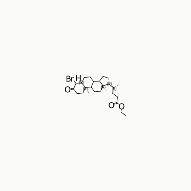 CCOC(=O)CC[C@@H](C)[C@H]1CCC2C3CC[C@@H]4C(Br)C(=O)CC[C@]4(C)C3CC[C@@]21C